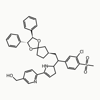 CS(=O)(=O)c1ccc(C(C[C@H]2CCC3(C2)O[C@H](c2ccccc2)[C@@H](c2ccccc2)O3)C2CC=C(c3ccc(CO)cn3)N2)cc1Cl